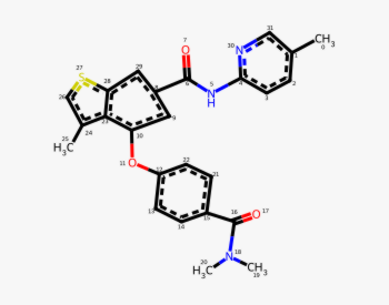 Cc1ccc(NC(=O)c2cc(Oc3ccc(C(=O)N(C)C)cc3)c3c(C)csc3c2)nc1